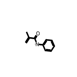 C=C(C)C(=O)[N]c1ccccc1